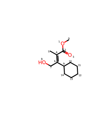 COC(=O)C(C)=C(CO)C1CCCCC1